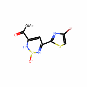 COC(=O)C1=CC(c2nc(Br)cs2)=N[S+]([O-])N1